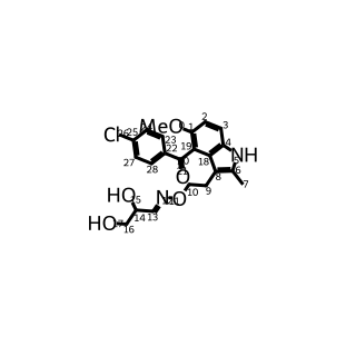 COc1ccc2[nH]c(C)c(CCON=CC(O)CO)c2c1C(=O)c1ccc(Cl)cc1